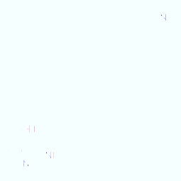 NCCc1ccc(C#Cc2ccc(C(CO)Cc3nc[nH]c(=O)c3O)cc2)cc1